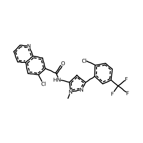 Cn1nc(-c2cc(C(F)(F)F)ccc2Cl)cc1NC(=O)c1cc2ncccc2cc1Cl